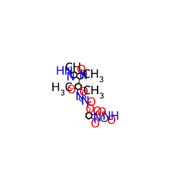 CNc1cc2c(=O)n(C)cc(-c3cc(OC)c(CN4CCN(C(=O)COc5cccc6c5C(=O)N(C5CCC(=O)NC5=O)C6=O)CC4)c(OC)c3)c2cn1